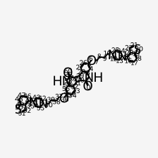 O=C1Nc2cc(OCCCCN3CCN(c4cccc5sccc45)CC3)ccc2C2C1C1c3ccc(OCCCCN4CCN(c5cccc6sccc56)CC4)cc3NC(=O)C21